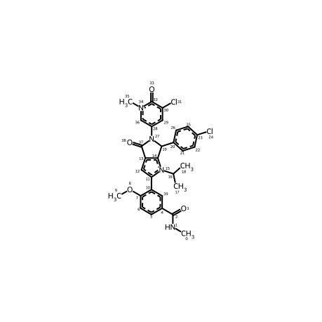 CNC(=O)c1ccc(OC)c(-c2cc3c(n2C(C)C)C(c2ccc(Cl)cc2)N(c2cc(Cl)c(=O)n(C)c2)C3=O)c1